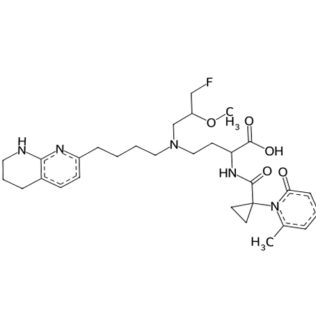 COC(CF)CN(CCCCc1ccc2c(n1)NCCC2)CCC(NC(=O)C1(n2c(C)cccc2=O)CC1)C(=O)O